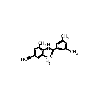 C#Cc1cc(C)c(NC(=O)c2cc(C)cc(C)c2)c(C)c1